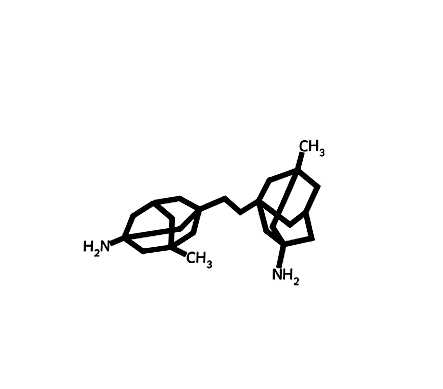 CC12CC3CC(N)(C1)CC(CCC14CC5CC(C)(CC(N)(C5)C1)C4)(C3)C2